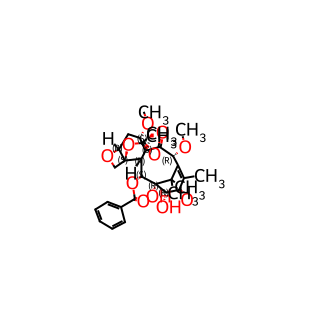 CO[C@H]1C(=O)[C@]2(C)[C@@H](OC)C[C@H]3OC[C@@]3(OC(C)=O)[C@H]2[C@H](OC(=O)c2ccccc2)[C@]2(O)[C@@H](O)C(=O)C(C)=C1C2(C)C